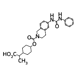 CC(C(=O)O)C1CCC(OC(=O)N2CCc3cc(NC(=O)Nc4ccccc4)ccc3C2)CC1